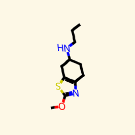 CCCNC1CCc2nc(OC)sc2C1